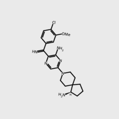 COc1cc(C(=N)c2ncc(N3CCC4(CCC[C@H]4N)CC3)nc2N)ccc1Cl